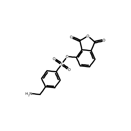 NCc1ccc(S(=O)(=O)Oc2cccc3c2C(=O)OC3=O)cc1